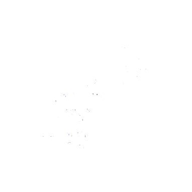 C=C(C=O)N1CCC[C@H]1c1nc(-c2ccc(COc3cccc(F)c3F)cc2)c2cnccn12